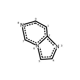 [c]1cc2nccn2cn1